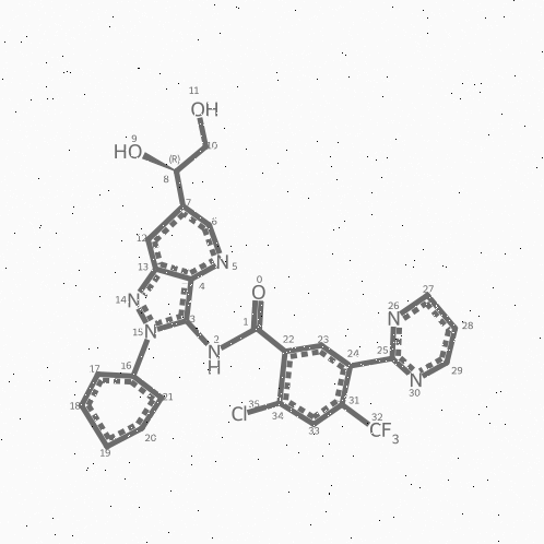 O=C(Nc1c2ncc([C@@H](O)CO)cc2nn1-c1ccccc1)c1cc(-c2ncccn2)c(C(F)(F)F)cc1Cl